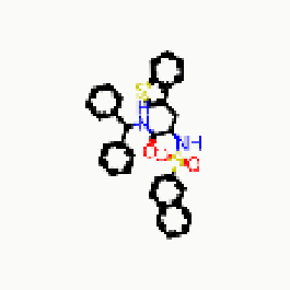 O=C(NC(c1ccccc1)c1ccccc1)C(Cc1csc2ccccc12)NS(=O)(=O)c1ccc2ccccc2c1